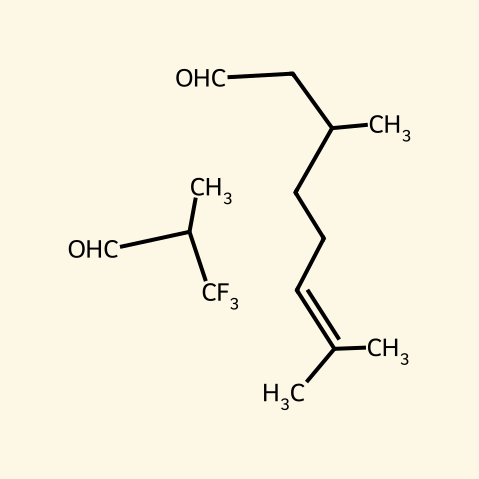 CC(C)=CCCC(C)CC=O.CC(C=O)C(F)(F)F